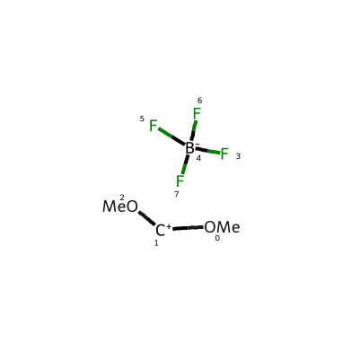 CO[CH+]OC.F[B-](F)(F)F